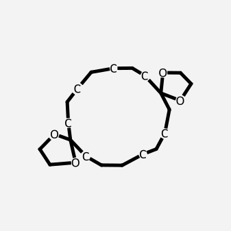 C1CCCC2(CCCCCCCC3(CCC1)OCCO3)OCCO2